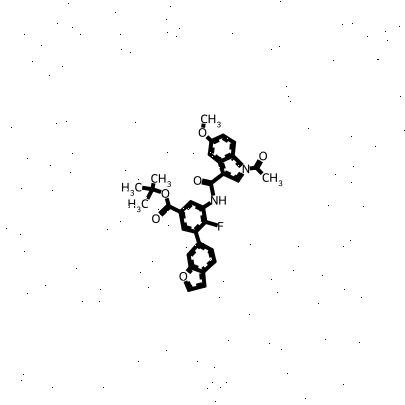 COc1ccc2c(c1)c(C(=O)Nc1cc(C(=O)OC(C)(C)C)cc(-c3ccc4ccoc4c3)c1F)cn2C(C)=O